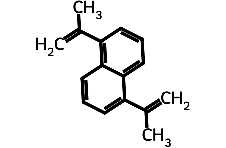 C=C(C)c1cccc2c(C(=C)C)cccc12